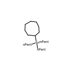 CCCC[CH2][Sn]([CH2]CCCC)([CH2]CCCC)[CH]1CCCCCCC1